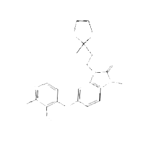 Cn1c(=O)n(CCC2(C)OCCO2)c2cc(Nc3ccnc(Cl)c3C#N)ccc21